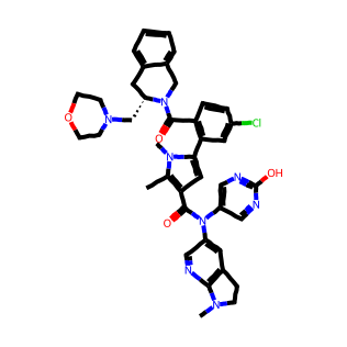 Cc1c(C(=O)N(c2cnc(O)nc2)c2cnc3c(c2)CCN3C)cc(-c2cc(Cl)ccc2C(=O)N2Cc3ccccc3C[C@H]2CN2CCOCC2)n1C